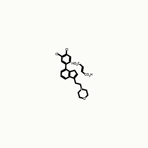 Clc1ccc(-c2cccc3c2CC=C3CCN2CCOCC2)cc1Cl.O=C(O)C=CC(=O)O